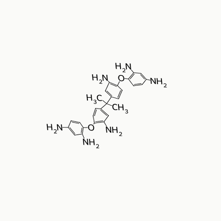 CC(C)(c1ccc(Oc2ccc(N)cc2N)c(N)c1)c1ccc(Oc2ccc(N)cc2N)c(N)c1